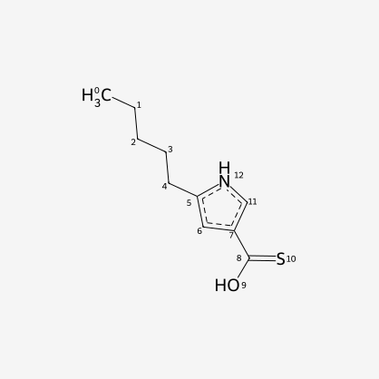 CCCCCc1cc(C(O)=S)c[nH]1